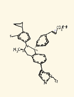 CCn1cc(-c2ccc3c(c2)C[C@@H](C)N(c2ccc(C4CC4)c(F)c2)[C@@H]3c2ccc(/C=C/C(=O)O)cc2)cn1